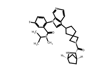 CC(C)N(C)C(=O)c1cc(F)ccc1-n1cc(C2CCC3(C2)CN(C(=O)[C@H]2N[C@@H]4CC[C@H]2C4)C3)c2ccncc21